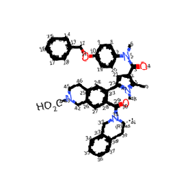 Cc1c(C(=O)N(C)c2ccc(OCc3ccccc3)cc2)cc(-c2cc3c(cc2C(=O)N2Cc4ccccc4C[C@H]2C)CN(C(=O)O)CC3)n1C